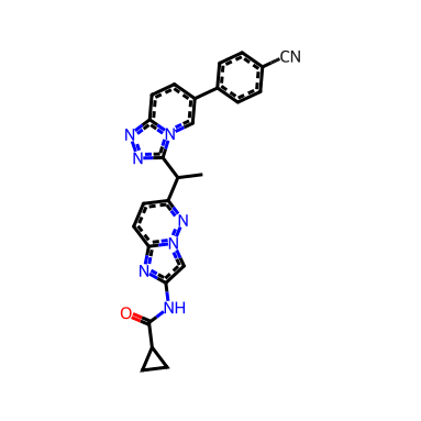 CC(c1ccc2nc(NC(=O)C3CC3)cn2n1)c1nnc2ccc(-c3ccc(C#N)cc3)cn12